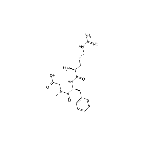 CN(CC(=O)O)C(=O)[C@H](Cc1ccccc1)NC(=O)[C@@H](N)CCCNC(=N)N